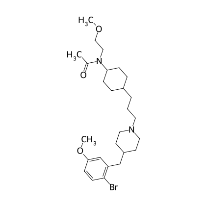 COCCN(C(C)=O)C1CCC(CCCN2CCC(Cc3cc(OC)ccc3Br)CC2)CC1